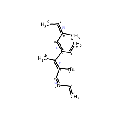 C=C\N=C/C(=C(C)/C(C=C)=C/C(C)=C\C)C(C)(C)C